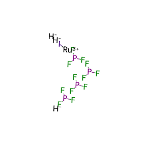 FP(F)F.FP(F)F.FP(F)F.FP(F)F.[H-].[H-].[H-].[Ru+3][I]